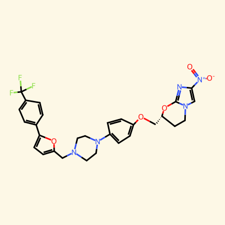 O=[N+]([O-])c1cn2c(n1)O[C@@H](COc1ccc(N3CCN(Cc4ccc(-c5ccc(C(F)(F)F)cc5)o4)CC3)cc1)CC2